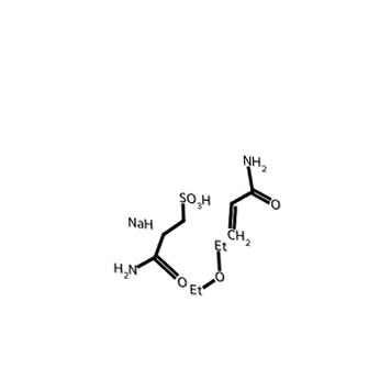 C=CC(N)=O.CCOCC.NC(=O)CCS(=O)(=O)O.[NaH]